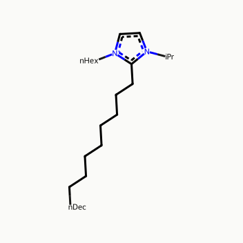 CCCCCCCCCCCCCCCCCCc1n(C(C)C)cc[n+]1CCCCCC